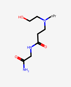 CCCN(CCO)CCC(=O)NCC(N)=O